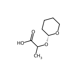 CC(O[C@@H]1CCCCO1)C(=O)O